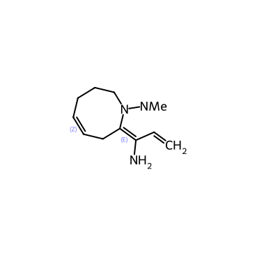 C=C/C(N)=C1/C/C=C\CCCN1NC